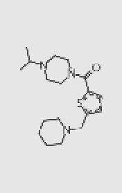 CC(C)N1CCN(C(=O)c2ccc(CN3CCCCC3)s2)CC1